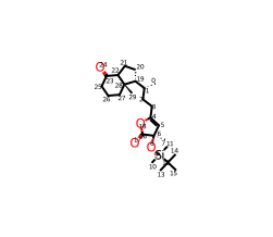 C[C@H](CCC1=C[C@@](C)(O[Si](C)(C)C(C)(C)C)C(=O)O1)[C@H]1CCC2C(=O)CCC[C@]21C